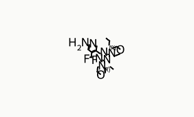 CCC[C@@H]1COCCN1c1nc(-c2cnc(N)cc2C(F)F)nc(N2CCOC[C@H]2CC)n1